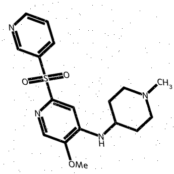 COc1cnc(S(=O)(=O)c2cccnc2)cc1NC1CCN(C)CC1